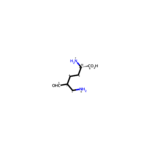 NCC(C=O)CC[C@H](N)C(=O)O